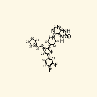 O=c1[nH]c2ncnc(N3CCC(c4nc(-c5ccc(F)c(F)c5)cn4CCN4CCCC4)CC3)c2[nH]1